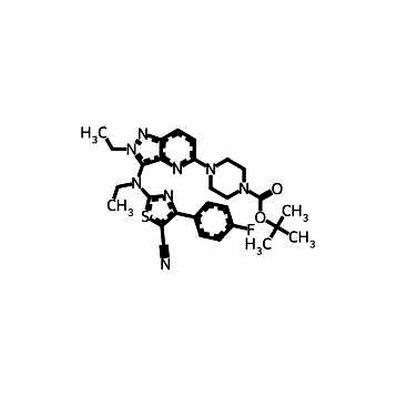 CCN(c1nc(-c2ccc(F)cc2)c(C#N)s1)c1c2nc(N3CCN(C(=O)OC(C)(C)C)CC3)ccc2nn1CC